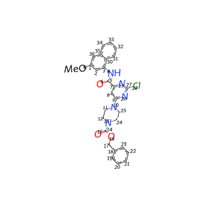 COc1cc(NC(=O)c2cc(N3CCN(C(=O)OCc4ccccc4)CC3)nc(Cl)n2)c2ccccc2c1